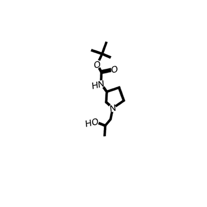 CC(O)CN1CCC(NC(=O)OC(C)(C)C)C1